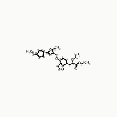 CCOC(=O)C(Cc1ccc(OCc2nc(-c3ccc(CC)cc3)oc2C)c2c1OCC2)OCC